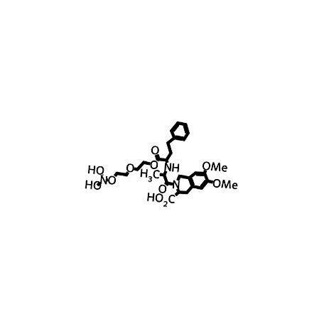 COc1cc2c(cc1OC)CN(C(=O)C(C)NC(CCc1ccccc1)C(=O)OCCOCCON(O)O)C(C(=O)O)C2